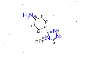 CCCn1cnnc1[C@H]1CC[C@H](N)CC1